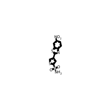 NS(=O)(=O)c1cc(-c2nc3ccc([N+](=O)[O-])cc3s2)cs1